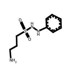 NCCCS(=O)(=O)NNc1ccccc1